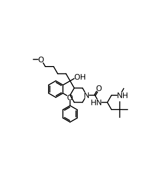 CNCC(CC(C)(C)C)NC(=O)N1CCCC(C(O)(CCCCOC)c2ccccc2Oc2ccccc2)C1